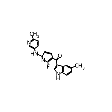 Cc1ccc2[nH]cc(C(=O)c3ccc(Nc4ccc(C)nc4)nc3F)c2c1